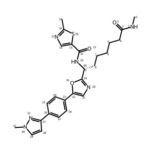 CNC(=O)CCCCC[C@@H](NC(=O)c1cnc(C)s1)c1ncc(-c2ccc(-c3ccn(C)n3)cc2)o1